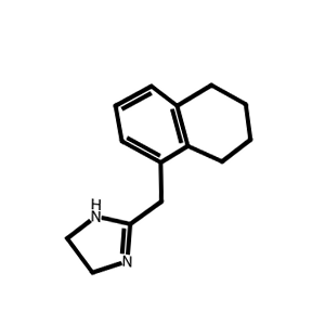 c1cc2c(c(CC3=NCCN3)c1)CCCC2